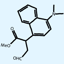 COC(=O)C(CC=O)c1ccc(N(C)C)c2ccccc12